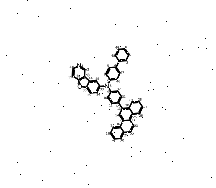 c1ccc(-c2ccc(N(c3ccc(-c4cc5c6ccccc6ccc5c5ccccc45)cc3)c3ccc4oc5ccncc5c4c3)cc2)cc1